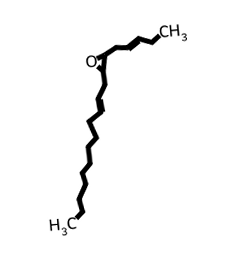 CCC=CCC1OC1CC=CCCCCCCCCC